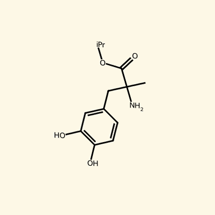 CC(C)OC(=O)C(C)(N)Cc1ccc(O)c(O)c1